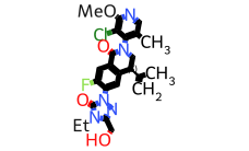 C=C(C)[C@@H]1CN(c2c(C)cnc(OC)c2Cl)C(=O)c2cc(F)c(-n3nc(CO)n(CC)c3=O)cc21